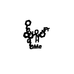 COCCOc1cc(C(=O)N[C@@H]2CCCN(C(C)C)C2)nc2c(OCC3CCCCC3)cccc12